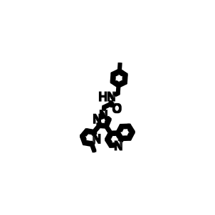 Cc1ccc(CNC(=O)Cn2cc(-c3ccnc4ccccc34)c(-c3cccc(C)n3)n2)cc1